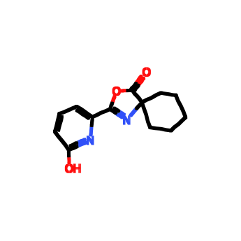 O=C1OC(c2cccc(O)n2)=NC12CCCCC2